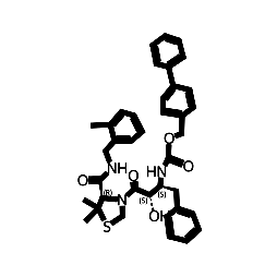 Cc1ccccc1CNC(=O)[C@H]1N(C(=O)[C@@H](O)[C@H](Cc2ccccc2)NC(=O)OCc2ccc(-c3ccccc3)cc2)CSC1(C)C